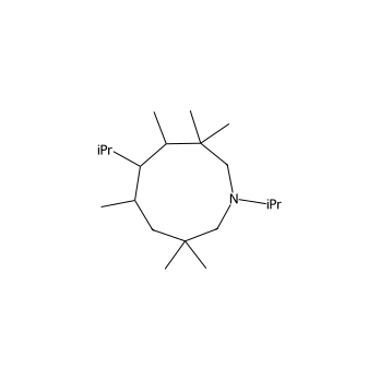 CC(C)C1C(C)CC(C)(C)CN(C(C)C)CC(C)(C)C1C